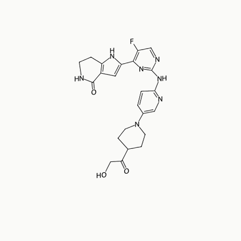 O=C1NCCc2[nH]c(-c3nc(Nc4ccc(N5CCC(C(=O)CO)CC5)cn4)ncc3F)cc21